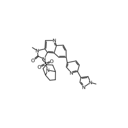 Cn1cc(-c2ccc(-c3ccc4ncc5c(c4c3)n(C3CC4CCC(C3)N4S(C)(=O)=O)c(=O)n5C)cn2)cn1